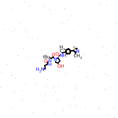 Cc1ncsc1-c1ccc([C@H](C)NC(=O)[C@@H]2C[C@@H](O)CN2C(=O)C(NC(=O)CCCN)C(C)(C)C)cc1